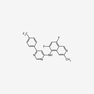 Cc1cc2c(Nc3cc(-c4ccc(C(F)(F)F)cc4)ncn3)c(F)cc(F)c2cn1